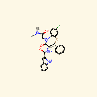 CCN(CC)C(=O)CN1C(=O)[C@H](NC(=O)c2cc3ccccc3[nH]2)[C@@H](c2ccccc2)Sc2cc(Cl)ccc21